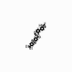 CCN(CC)c1ccc(S(=O)(=O)c2ccc(C(=O)N3CCOc4ccc(-c5ccc6nc(C)[nH]c6c5)cc4C3)cc2)cc1